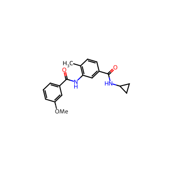 COc1cccc(C(=O)Nc2cc(C(=O)NC3CC3)ccc2C)c1